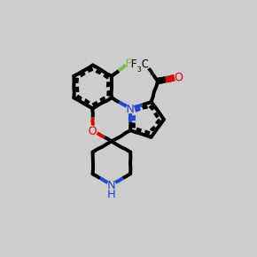 O=C(c1ccc2n1-c1c(F)cccc1OC21CCNCC1)C(F)(F)F